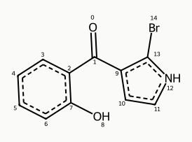 O=C(c1ccccc1O)c1cc[nH]c1Br